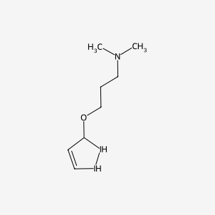 CN(C)CCCOC1C=C[IH][IH]1